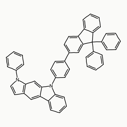 c1ccc(-n2ccc3cc4c5ccccc5n(-c5ccc(-c6ccc7c(c6)C(c6ccccc6)(c6ccccc6)c6ccccc6-7)cc5)c4cc32)cc1